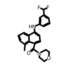 Cc1cccc2c(Nc3cccc(C(F)F)c3)ccc(C(=O)N3CCOCC3)c12